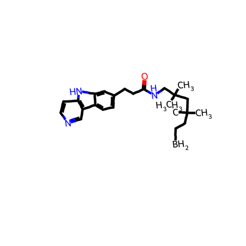 BCCC(C)(C)CC(C)(C)CNC(=O)CCc1ccc2c(c1)[nH]c1ccncc12